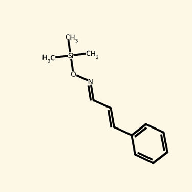 C[Si](C)(C)ON=CC=Cc1ccccc1